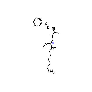 C=C/C(=C\CC(C)NSOc1ccccc1)NCCCCCN